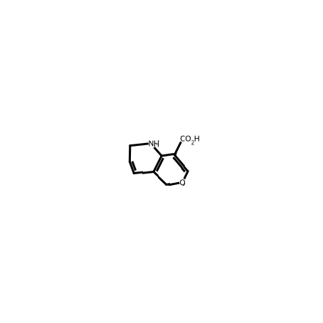 O=C(O)C1=COCC2=C1NCC=C2